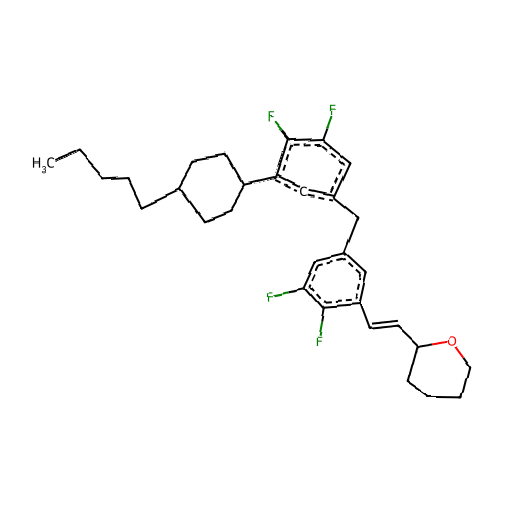 CCCCCC1CCC(c2cc(Cc3cc(F)c(F)c(/C=C/C4CCCCO4)c3)cc(F)c2F)CC1